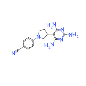 N#Cc1ccc(N2CCC(c3c(N)nc(N)nc3N)C2)cc1